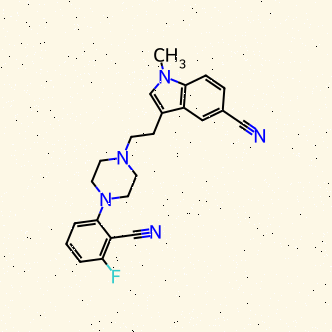 Cn1cc(CCN2CCN(c3cccc(F)c3C#N)CC2)c2cc(C#N)ccc21